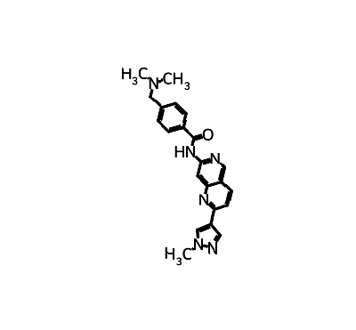 CN(C)Cc1ccc(C(=O)Nc2cc3nc(-c4cnn(C)c4)ccc3cn2)cc1